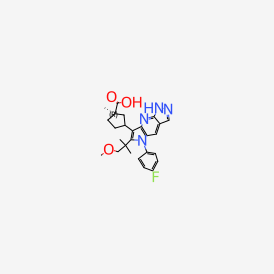 COCC(C)(C)c1c(C2CC[C@@](C)(C(=O)O)C2)c2nc3[nH]ncc3cc2n1-c1ccc(F)cc1